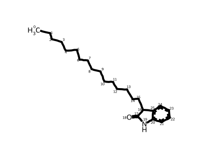 CCCCCCCCCCCCCCCCC1C(=O)Nc2ccccc21